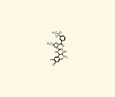 CC(O)C(NC(=O)[C@H]1C[C@@H](C)CN1C(=O)c1cccc(S(C)(=O)=O)c1)c1cc(F)c(Cl)cc1F